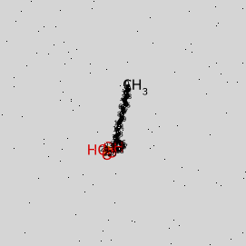 CCCCCCCCCCCCCCCc1cccc(OP(=O)(O)O)c1